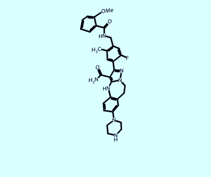 COc1ccccc1C(=O)NCc1cc(F)c(-c2nn3c(c2C(N)=O)Nc2ccc(N4CCNCC4)cc2CC3)cc1C